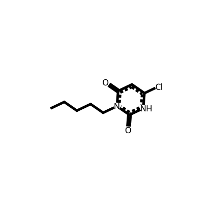 CCCCCn1c(=O)cc(Cl)[nH]c1=O